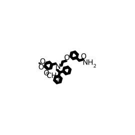 COc1cc(CN(CCCOc2cccc(CC(N)=O)c2)CC(c2ccccc2)c2ccccc2)cc2c1OCO2